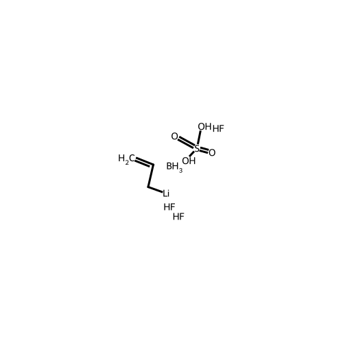 B.F.F.F.O=S(=O)(O)O.[Li][CH2]C=C